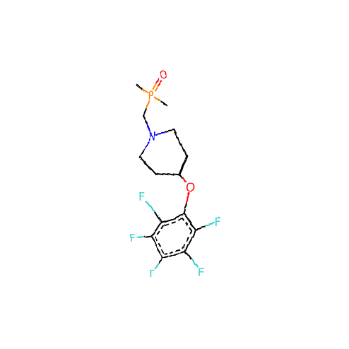 CP(C)(=O)CN1CCC(Oc2c(F)c(F)c(F)c(F)c2F)CC1